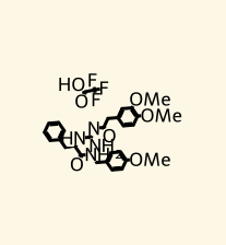 COc1ccc(CNC(=O)[C@@H](Cc2ccccc2)NC(N)=NC(=O)Cc2ccc(OC)c(OC)c2)cc1.O=C(O)C(F)(F)F